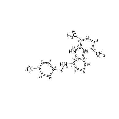 Cc1ccc(CNc2cccc3c2[nH]c2c(C)ccc(C)c23)cc1